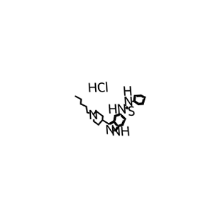 CCCCCN1CCC(c2n[nH]c3ccc(NC(=S)Nc4ccccc4)cc23)CC1.Cl